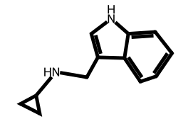 c1ccc2c(CNC3CC3)c[nH]c2c1